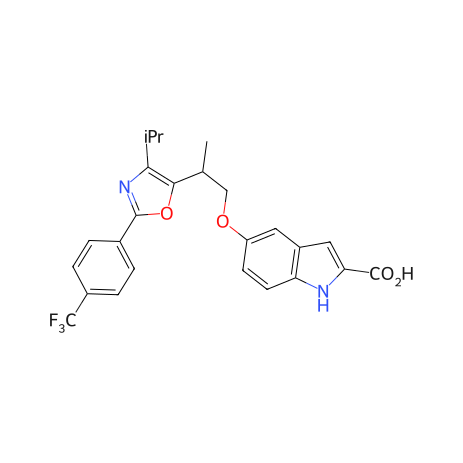 CC(C)c1nc(-c2ccc(C(F)(F)F)cc2)oc1C(C)COc1ccc2[nH]c(C(=O)O)cc2c1